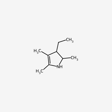 CCC1C(C)=C(C)NC1C